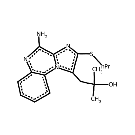 CCCSc1nc2c(N)nc3ccccc3n2c1CC(C)(C)O